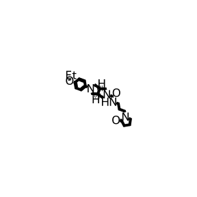 CCOc1ccc(N2C[C@H]3CN(C(=O)NCCCN4CCCC4=O)C[C@H]3C2)cc1